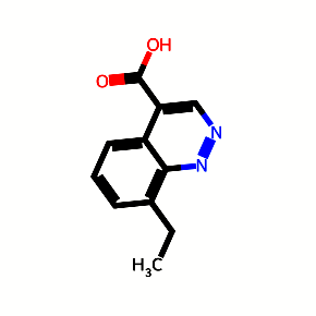 CCc1cccc2c(C(=O)O)cnnc12